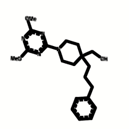 COc1nc(OC)nc(N2CCC(CO)(CCCc3ccccc3)CC2)n1